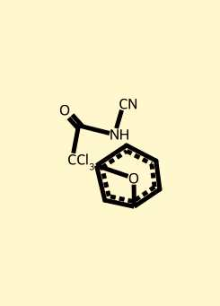 N#CNC(=O)C(Cl)(Cl)Cl.c1cc2cc(c1)O2